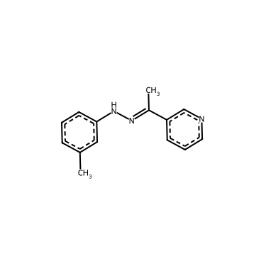 C/C(=N\Nc1cccc(C)c1)c1cccnc1